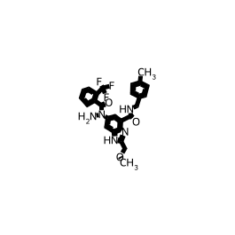 COCc1nc2c(C(=O)NCc3ccc(C)cc3)cc(N(N)C(=O)c3ccccc3C(F)(F)F)cc2[nH]1